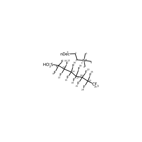 CCCCCCCCCCCC[N+](C)(C)C.O=S(=O)(O)C(F)(F)C(F)(F)C(F)(F)C(F)(F)C(F)(F)C(F)(F)C(F)(F)F